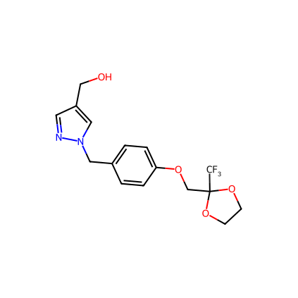 OCc1cnn(Cc2ccc(OCC3(C(F)(F)F)OCCO3)cc2)c1